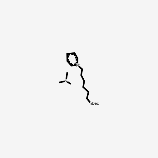 CCCCCCCCCCCCCCCC[n+]1ccccc1.CN(C)C